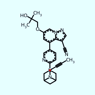 CC#CCN1C2CC1CN(c1ccc(-c3cc(OCC(C)(C)O)cn4ncc(C#N)c34)cn1)C2